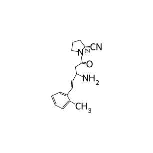 Cc1ccccc1C=CC(N)CC(=O)N1CCC[C@H]1C#N